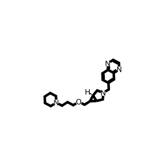 c1cnc2cc(CN3CC4C(COCCCN5CCCCC5)[C@H]4C3)ccc2n1